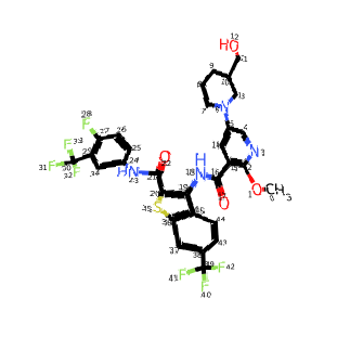 COc1ncc(N2CCCC(CO)C2)cc1C(=O)Nc1c(C(=O)Nc2ccc(F)c(C(F)(F)F)c2)sc2cc(C(F)(F)F)ccc12